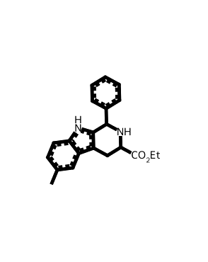 CCOC(=O)C1Cc2c([nH]c3ccc(C)cc23)C(c2ccccc2)N1